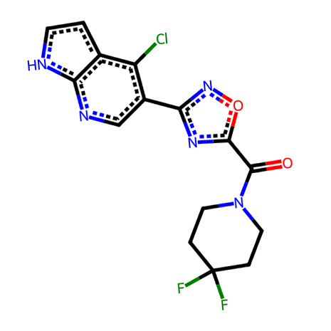 O=C(c1nc(-c2cnc3[nH]ccc3c2Cl)no1)N1CCC(F)(F)CC1